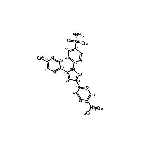 NS(=O)(=O)c1ccc(-n2nc(-c3ccc([N+](=O)[O-])cc3)cc2-c2ccc(Cl)cc2)cc1